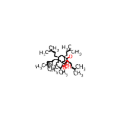 CC(C)=CCCC1(C)C(CC=C(C)C)C[C@]2(CC=C(C)C)C(=O)C(CC=C(C)C)=C(O)[C@@]1(C(=O)C(C)C)C2=O